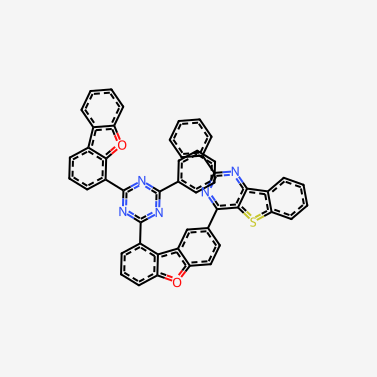 c1ccc(-c2nc(-c3cccc4c3oc3ccccc34)nc(-c3cccc4oc5ccc(-c6nc(-c7ccccc7)nc7c6sc6ccccc67)cc5c34)n2)cc1